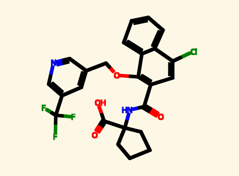 O=C(NC1(C(=O)O)CCCC1)c1cc(Cl)c2ccccc2c1OCc1cncc(C(F)(F)F)c1